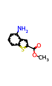 COC(=O)c1cc2c(N)cccc2s1